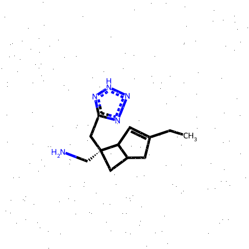 CCC1=CC2C(C1)C[C@@]2(CN)Cc1nn[nH]n1